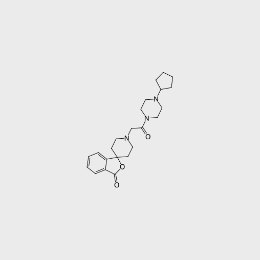 O=C1OC2(CCN(CC(=O)N3CCN(C4CCCC4)CC3)CC2)c2ccccc21